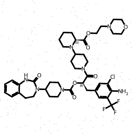 Nc1c(Cl)cc(C[C@@H](OC(=O)N2CCC(N3CCc4ccccc4NC3=O)CC2)C(=O)N2CCC(N3CCCC[C@H]3C(=O)OCCN3CCOCC3)CC2)cc1C(F)(F)F